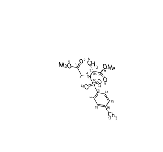 COC(=O)CN([C@H](C)C(=O)OC)S(=O)(=O)c1ccc(C)cc1